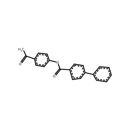 CC(=O)c1ccc(OC(=O)c2ccc(-c3ccccc3)cc2)cc1